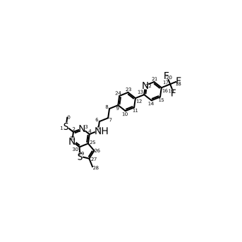 CSc1nc(NCCCc2ccc(-c3ccc(C(F)(F)F)cn3)cc2)c2cc(C)sc2n1